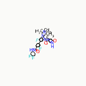 C[C@@H]1CN(c2cc(F)c(-c3ccc(C(=O)NC4CCC(F)(F)CC4)c(F)c3)cc2NC(=O)c2c[nH]c(=O)cc2C(F)(F)F)C[C@H](C)N1C